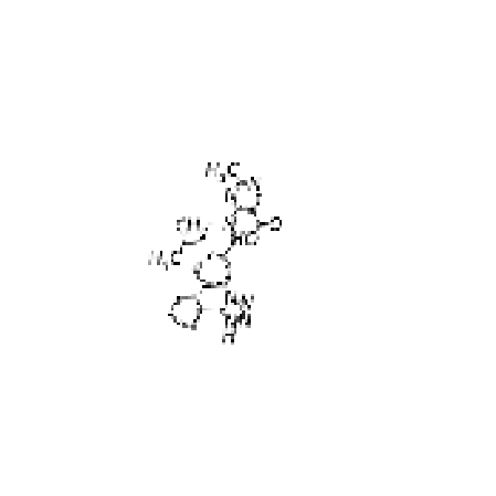 Cc1ncc(C(=O)O)c(N(CCC(C)C)Cc2ccc(-c3ccccc3-c3nnn[nH]3)cc2)n1